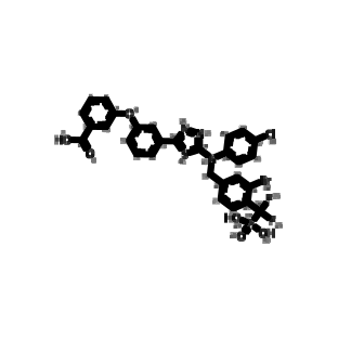 O=C(O)c1cccc(Oc2cccc(-c3nnc(N(Cc4ccc(C(F)(F)P(=O)(O)O)c(Br)c4)c4ccc(Cl)cc4)s3)c2)c1